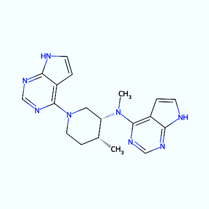 C[C@@H]1CCN(c2ncnc3[nH]ccc23)C[C@@H]1N(C)c1ncnc2[nH]ccc12